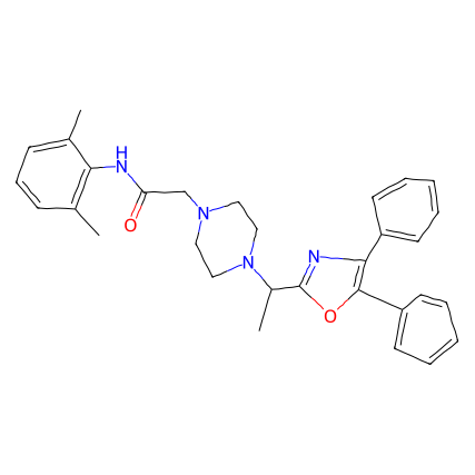 Cc1cccc(C)c1NC(=O)CN1CCN(C(C)c2nc(-c3ccccc3)c(-c3ccccc3)o2)CC1